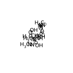 CC1CCCCN1c1nnc2ccc(O[C@@H]3CC[C@H](NC(=O)Nc4cc(C(C)(C)C)nn4-c4ccc(O)c(CN5CCN(C)CC5)c4)c4ccccc43)cn12.O=CO